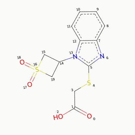 O=C(O)CSc1nc2ccccc2n1C1CS(=O)(=O)C1